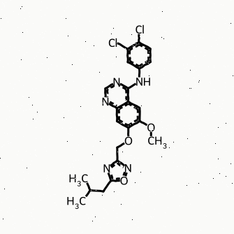 COc1cc2c(Nc3ccc(Cl)c(Cl)c3)ncnc2cc1OCc1noc(CC(C)C)n1